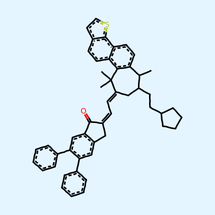 CC1c2ccc3c(ccc4ccsc43)c2C(C)(C)/C(=C/C=C2/Cc3cc(-c4ccccc4)c(-c4ccccc4)cc3C2=O)CC1CCC1CCCC1